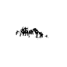 CC(C)C(=O)NCc1ccc2c(ccn2-c2ccc(OC3CCN(C(=O)O)C(C(C)(C)C)C3)cn2)c1